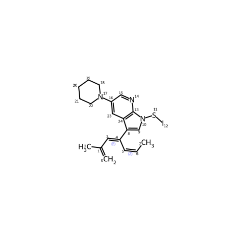 C=C(C)/C=C(\C=C/C)c1cn(SI)c2ncc(N3CCCCC3)cc12